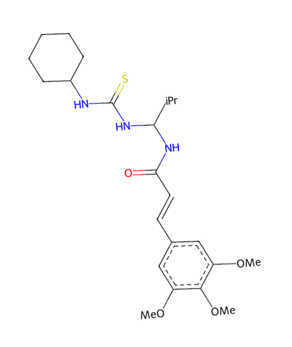 COc1cc(C=CC(=O)NC(NC(=S)NC2CCCCC2)C(C)C)cc(OC)c1OC